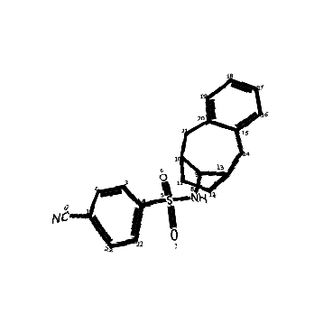 N#Cc1ccc(S(=O)(=O)NC2C3CCC2Cc2ccccc2C3)cc1